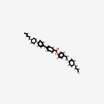 CCCCC[C@H]1CC[C@H](c2ccc(-c3ccc(C(=O)Oc4ccc(CC[C@H]5CC[C@H](CCCC)CC5)cc4)cc3)cc2)CC1